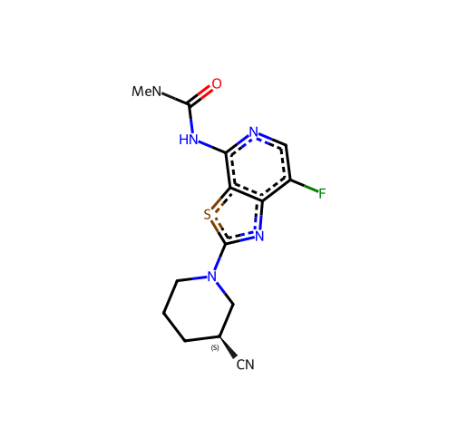 CNC(=O)Nc1ncc(F)c2nc(N3CCC[C@H](C#N)C3)sc12